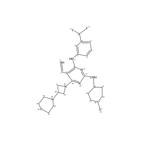 N=Cc1c(Nc2cccc(C(F)F)c2)nc(NC2CC[S+]([O-])CC2)nc1N1CC(N2CCOCC2)C1